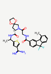 Cc1cccc2c1-c1cc(C(=O)NCC(=O)N3CC4(C[C@H]3C(=O)NC(C)c3cc(C(=N)N)cs3)OCCO4)ccc1C2(F)F